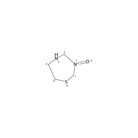 O=[N+]1CNC[CH]SC1